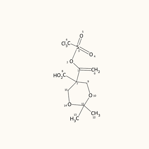 C=C(OS(=O)(=O)C(Cl)(Cl)Cl)C1(C(=O)O)COC(C)(C)OC1